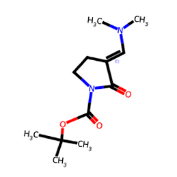 CN(C)/C=C1\CCN(C(=O)OC(C)(C)C)C1=O